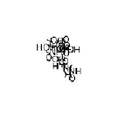 C=C1NC(=O)C(C)=CN1[C@H]1CC(O)[C@@H](COP(=O)(O)OP(=O)(O)O[C@H]2OC(C)[C@@H](O)[C@H](NC(C)=O)C2O)O1